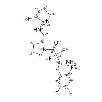 N[C@H](Cc1cc(F)c(F)cc1F)C(F)(F)C(=O)N1CCCC1CNc1ncccc1F